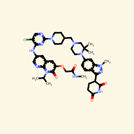 CNC(=O)COc1cc2cc(Nc3nc(N4CCC(CN5CCN(c6ccc7c(C8CCC(=O)NC8=O)nn(C)c7c6)C(C)(C)C5)CC4)ncc3Cl)cnc2n(C(C)C)c1=O